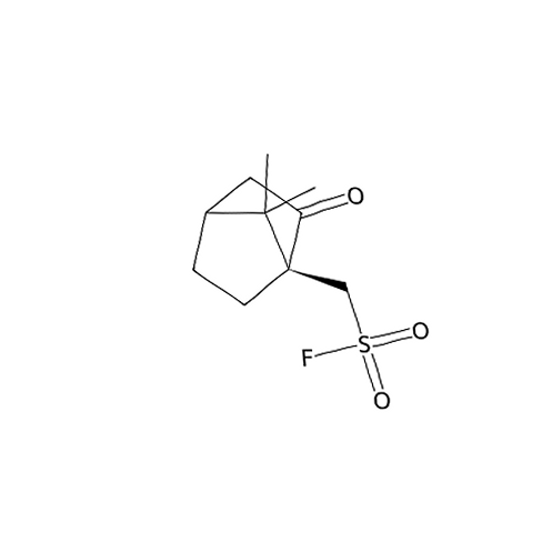 CC1(C)C2CC[C@@]1(CS(=O)(=O)F)C(=O)C2